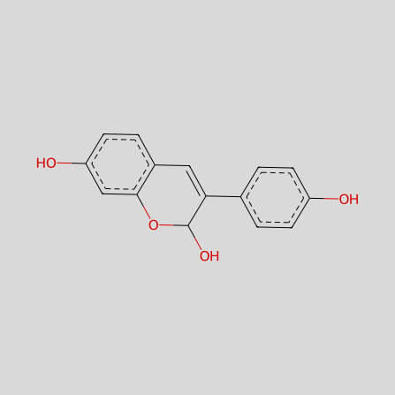 Oc1ccc(C2=Cc3ccc(O)cc3OC2O)cc1